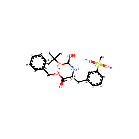 CC(C)(C)OC(O)N[C@@H](Cc1cccc(S(C)(=O)=O)c1)C(=O)OCc1ccccc1